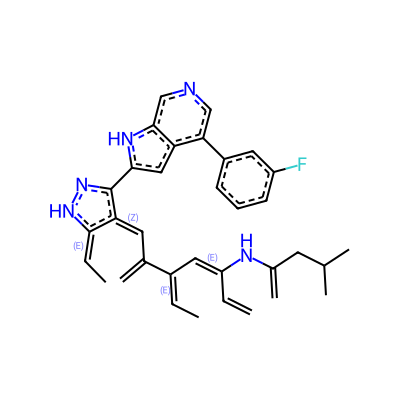 C=C/C(=C\C(=C/C)C(=C)/C=c1/c(-c2cc3c(-c4cccc(F)c4)cncc3[nH]2)n[nH]/c1=C/C)NC(=C)CC(C)C